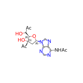 CC(=O)Nc1ncnc2c1ncn2[C@H]1C[C@@](O)(C(C)=O)[C@@H](C(O)C(C)=O)O1